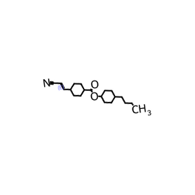 CCCCC1CCC(OC(=O)C2CCC(/C=C/C#N)CC2)CC1